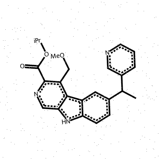 COCc1c(C(=O)OC(C)C)ncc2[nH]c3ccc(C(C)c4cccnc4)cc3c12